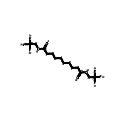 O=C(CCCCCCCCC(=O)OCC(F)(F)F)OCC(F)(F)F